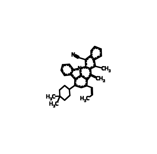 C=c1c2c(C)c3ccccc3c(C#N)c2n2c3ccccc3c3c(C4CCC(C)(C)CC4)cc(/C=C\C)c1c32